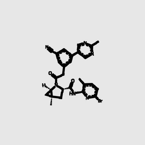 Cc1ncc(-c2cc(C#N)cc(CC(=O)N3[C@H](C(=O)Nc4nc(Br)ccc4C)C[C@@]4(C)C[C@@H]34)c2)cn1